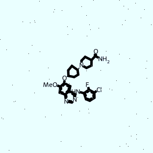 COc1cc2ncnc(Nc3cccc(Cl)c3F)c2cc1O[C@H]1CC[C@@H](N2CCC(C(N)=O)CC2)CC1